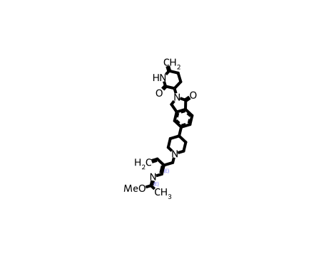 C=C/C(=C\N=C(/C)OC)CN1CCC(c2ccc3c(c2)CN(C2CCC(=C)NC2=O)C3=O)CC1